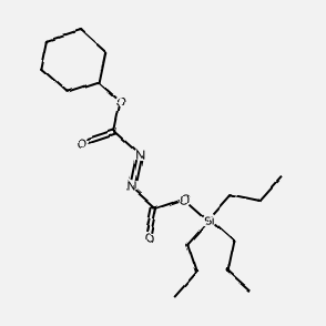 CCC[Si](CCC)(CCC)OC(=O)/N=N/C(=O)OC1CCCCC1